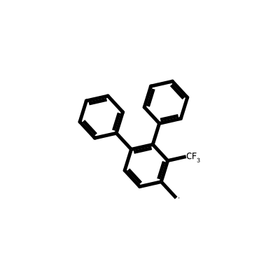 [CH2]c1ccc(-c2ccccc2)c(-c2ccccc2)c1C(F)(F)F